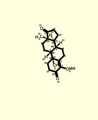 COC1=C2CC[C@@H]3[C@@H](CC[C@]4(C)C(=O)CC[C@@H]34)[C@@]2(C)CCC1=O